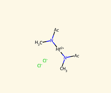 CC(=O)[N](C)[Hf+2][N](C)C(C)=O.[Cl-].[Cl-]